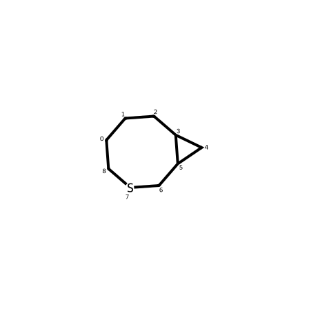 C1CCC2CC2CSC1